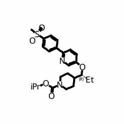 CC[C@@H](Oc1ccc(-c2ccc(S(C)(=O)=O)cc2)nc1)C1CCN(C(=O)OC(C)C)CC1